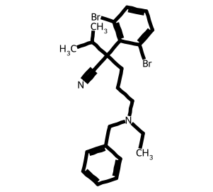 CCN(CCCC(C#N)(c1c(Br)cccc1Br)C(C)C)Cc1ccccc1